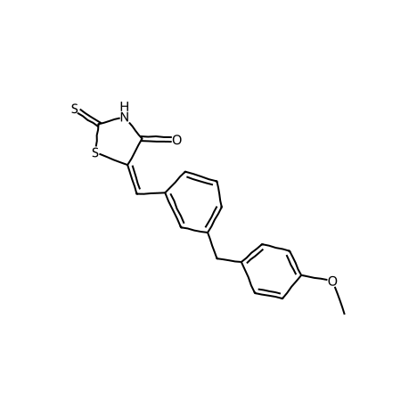 COc1ccc(Cc2cccc(C=C3SC(=S)NC3=O)c2)cc1